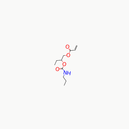 C=CC(=O)OCC(CC)OC(=O)NCCC